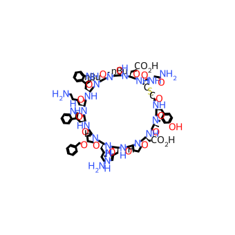 CCCC[C@H]1C(=O)N(C)[C@@H](CCCC)C(=O)N[C@@H](CCC(=O)O)C(=O)N[C@H](C(=O)NCC(N)=O)CSCC(=O)N[C@@H](Cc2ccc(O)cc2)C(=O)N(C)[C@@H](C)C(=O)N[C@@H](CC(=O)O)C(=O)N2CCC[C@H]2C(=O)N[C@@H](Cc2c[nH]cn2)C(=O)N[C@@H](CCCCN)C(=O)N2C[C@H](OCc3ccccc3)C[C@H]2C(=O)N[C@@H](Cc2c[nH]c3ccccc23)C(=O)N[C@@H](CCCCN)C(=O)N[C@@H](Cc2c[nH]c3ccccc23)C(=O)N1C